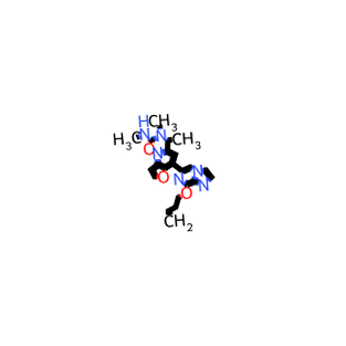 C=CCCOc1nc(-c2cc(C(C)N(CC)C(=O)NC)nc3ccoc23)cn2ccnc12